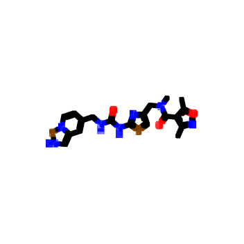 Cc1noc(C)c1C(=O)N(C)Cc1csc(NC(=O)NCC2=CC3=CNSN3C=C2)n1